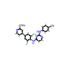 COc1cc(-c2cc(F)c(Nc3ccnc(Nc4ccc(C#N)cc4)n3)c(F)c2)ccn1